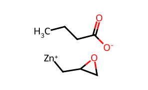 CCCC(=O)[O-].[Zn+][CH2]C1CO1